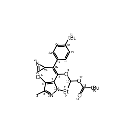 CCn1nc(C)c(Cl)c1/C(OC(C)OC(=O)C(C)(C)C)=C(/c1ccc(C(C)(C)C)cc1)C1C=N1